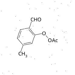 CC(=O)OOc1cc(C)ccc1C=O